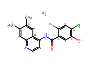 COc1cc2nccc(NC(=O)c3cc(O)c(Cl)cc3F)c2cc1OC.Cl